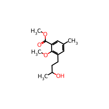 COC(=O)c1cc(C)cc(CCC(C)O)c1OC